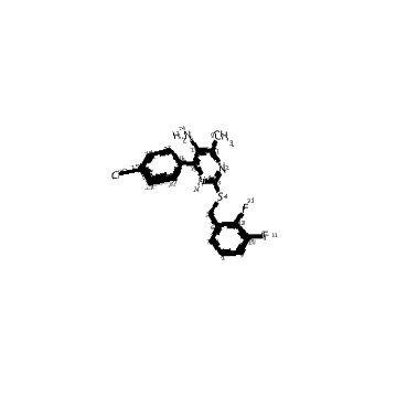 Cc1nc(SCc2cccc(F)c2F)nc(-c2ccc(Cl)cc2)c1N